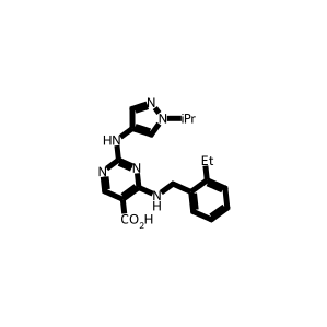 CCc1ccccc1CNc1nc(Nc2cnn(C(C)C)c2)ncc1C(=O)O